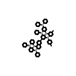 Cc1ccc(N2c3ccc(C)cc3B3c4ccc(N(c5ccccc5)c5ccccc5)cc4N(c4ccccc4)c4cc(-c5ccc6c7c(ccc6c5)N(c5ccccc5)c5cccc6c5B7c5ccccc5N6c5ccccc5)cc2c43)cc1